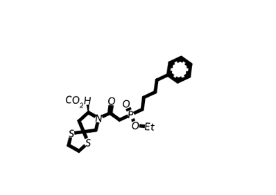 CCOP(=O)(CCCCc1ccccc1)CC(=O)N1CC2(C[C@H]1C(=O)O)SCCS2